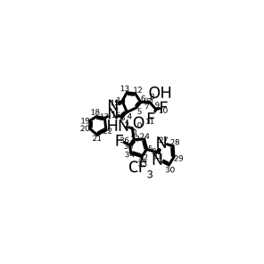 O=C(Nc1c2cc([C@H](O)C(F)F)ccc2nn1-c1ccccc1)c1cc(-c2ncccn2)c(C(F)(F)F)cc1F